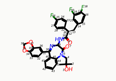 CC(C)(O)CN1C(=O)C(NC(=O)[C@H](Cc2ccc(F)c(F)c2)c2ccc(F)cc2)N=C(c2ccc3c(c2)OCO3)c2ccccc21